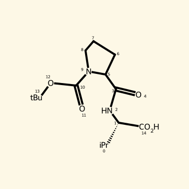 CC(C)[C@H](NC(=O)C1CCCN1C(=O)OC(C)(C)C)C(=O)O